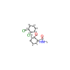 CNC(=O)c1ccccc1Oc1cccc(Cl)c1Cl